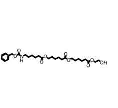 O=C(CCCCCOC(=O)CCCCCOC(=O)CCCCCNC(=O)OCc1ccccc1)OCCO